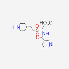 O=C(O)CC(NC(=O)C1CCCNC1)S(=O)(=O)CCC1CCNCC1